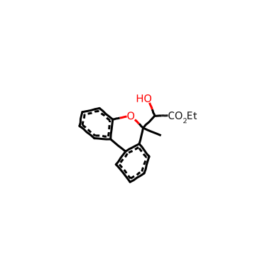 CCOC(=O)C(O)C1(C)Oc2ccccc2-c2ccccc21